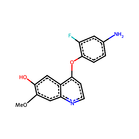 COc1cc2nccc(Oc3ccc(N)cc3F)c2cc1O